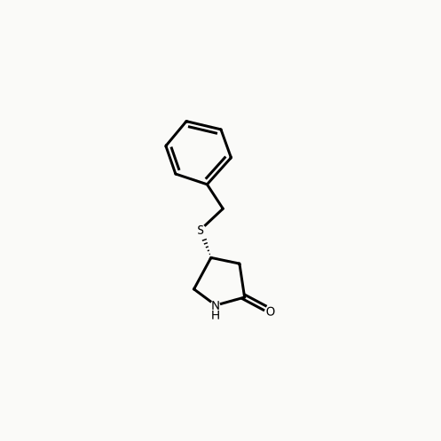 O=C1C[C@@H](SCc2ccccc2)CN1